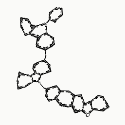 c1ccc(-n2c3ccccc3c3cc(-c4ccc5c(c4)c4ccccc4n5-c4ccc5cc6cc7oc8ccccc8c7cc6cc5c4)ccc32)cc1